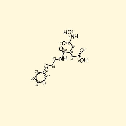 O=C(O)CC(CC(=O)NO)C(=O)NCCOc1ccccc1